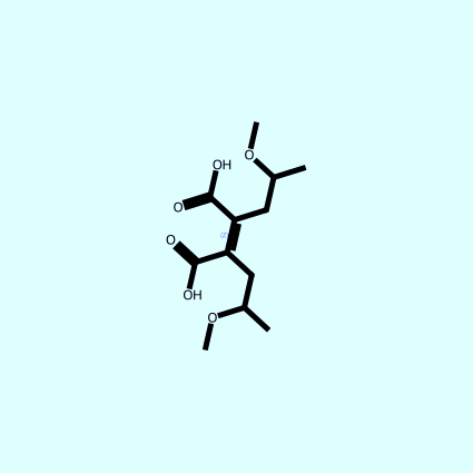 COC(C)C/C(C(=O)O)=C(\CC(C)OC)C(=O)O